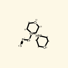 C1COCCN1.S=PSN1CCOCC1